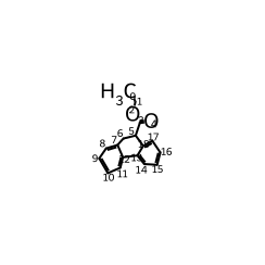 CCOC(=O)C1Cc2ccccc2-c2ccccc21